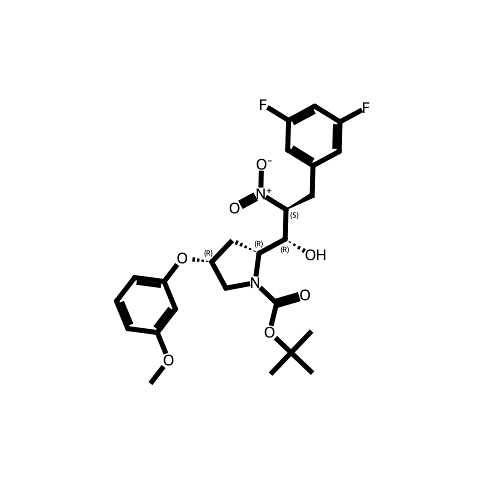 COc1cccc(O[C@@H]2C[C@H]([C@@H](O)[C@H](Cc3cc(F)cc(F)c3)[N+](=O)[O-])N(C(=O)OC(C)(C)C)C2)c1